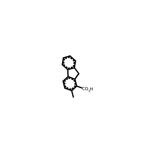 Cc1ccc2c(c1C(=O)O)Cc1ccccc1-2